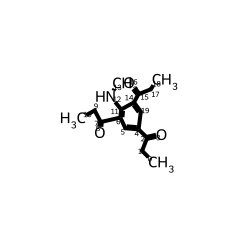 CCC(=O)c1cc(C(=O)CC)c(NC)c(C(=O)CC)c1